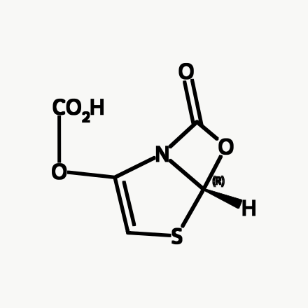 O=C(O)OC1=CS[C@H]2OC(=O)N12